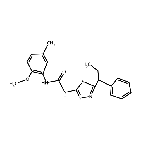 CCC(c1ccccc1)c1nnc(NC(=O)Nc2cc(C)ccc2OC)s1